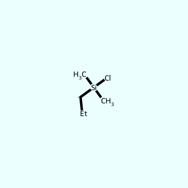 CC[CH][Si](C)(C)Cl